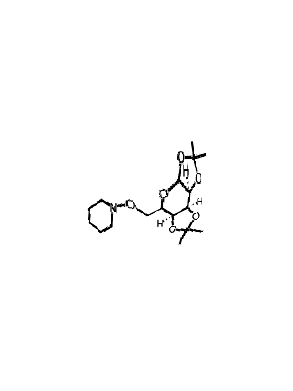 CC1(C)OC2OC(CON3CCCCC3)[C@@H]3OC(C)(C)O[C@@H]3[C@@H]2O1